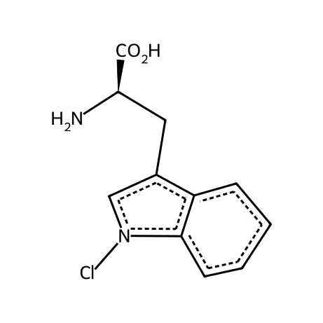 N[C@H](Cc1cn(Cl)c2ccccc12)C(=O)O